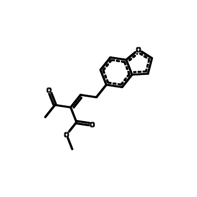 COC(=O)C(=CCc1ccc2occc2c1)C(C)=O